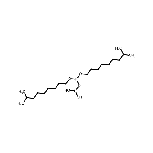 CC(C)CCCCCCCOP(OCCCCCCCC(C)C)OP(O)O